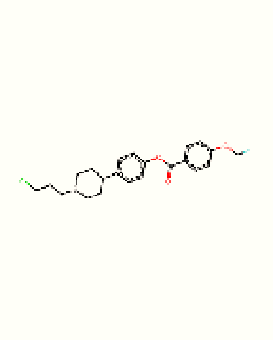 O=C(Oc1ccc(C2CC[SiH](CCCCl)CC2)cc1)c1ccc(OCF)cc1